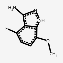 COc1ccc(F)c2c(N)n[nH]c12